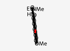 CCC(=O)[C@@H](CCCCNC(=O)CCOCCOCCOCCOCCOCCOCCOCCOCCOCCOC)NC